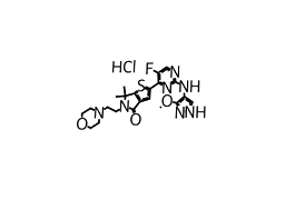 COc1n[nH]cc1Nc1ncc(F)c(-c2cc3c(s2)C(C)(C)N(CCN2CCOCC2)C3=O)n1.Cl